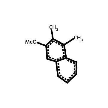 COc1cc2ccccc2c(C)c1C